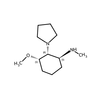 CN[C@H]1CCC[C@H](OC)[C@@H]1N1CCCC1